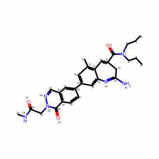 CCCN(CCC)C(=O)C1=Cc2c(C)cc(-c3ccc4c(=O)n(CC(=O)NC)ncc4c3)cc2N=C(N)C1